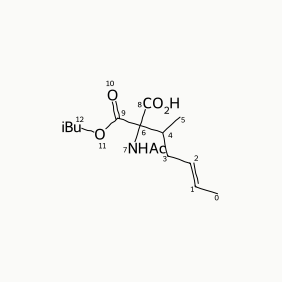 CC=CCC(C)C(NC(C)=O)(C(=O)O)C(=O)OC(C)CC